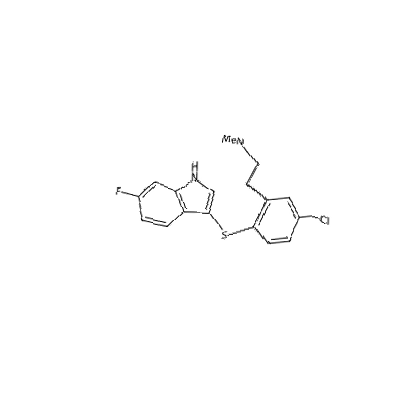 CNCCc1cc(Cl)ccc1Sc1c[nH]c2cc(F)ccc12